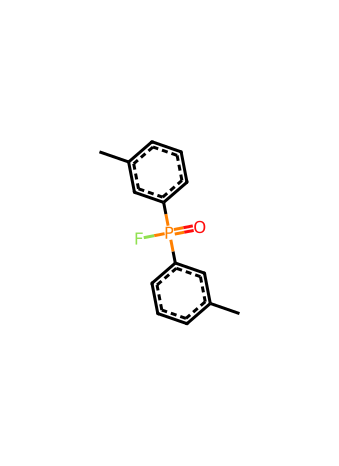 Cc1cccc(P(=O)(F)c2cccc(C)c2)c1